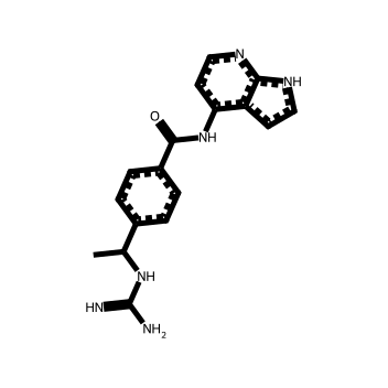 CC(NC(=N)N)c1ccc(C(=O)Nc2ccnc3[nH]ccc23)cc1